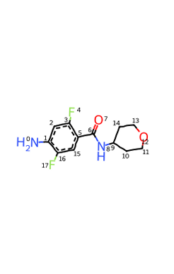 Nc1cc(F)c(C(=O)NC2CCOCC2)cc1F